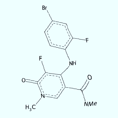 CNC(=O)c1cn(C)c(=O)c(F)c1Nc1ccc(Br)cc1F